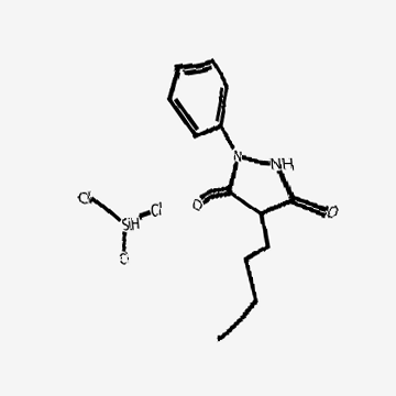 CCCCC1C(=O)NN(c2ccccc2)C1=O.Cl[SiH](Cl)Cl